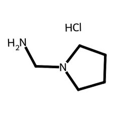 Cl.NCN1CCCC1